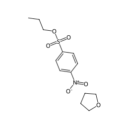 C1CCOC1.CCCOS(=O)(=O)c1ccc([N+](=O)[O-])cc1